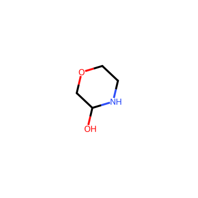 OC1COCCN1